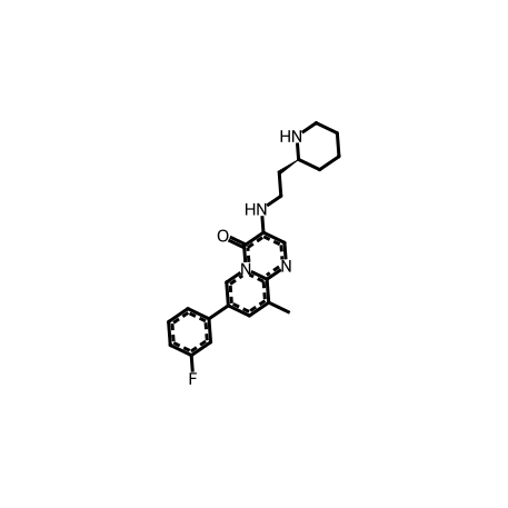 Cc1cc(-c2cccc(F)c2)cn2c(=O)c(NCC[C@@H]3CCCCN3)cnc12